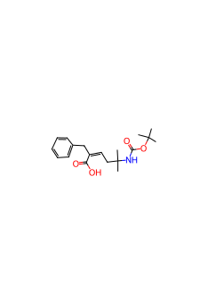 CC(C)(CC=C(Cc1ccccc1)C(=O)O)NC(=O)OC(C)(C)C